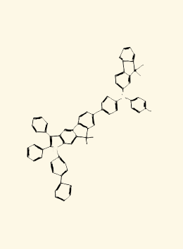 CC1(C)c2ccccc2-c2ccc(N(c3ccc(F)cc3)c3ccc(-c4ccc5c(c4)C(C)(C)c4cc6c(cc4-5)c(-c4ccccc4)c(-c4ccccc4)n6-c4ccc(-c5ccccc5)cc4)cc3)cc21